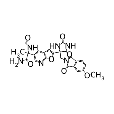 COc1ccc2c(c1)C(=O)N(C[C@@]1(c3cc4cc(C(C)(NC=O)C(N)=O)cnc4o3)NC(=O)NC1=O)C2